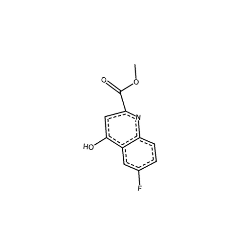 COC(=O)c1cc(O)c2cc(F)ccc2n1